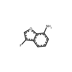 Nc1cccc2c(F)coc12